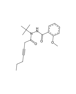 CCCC#CCC(=O)N(NC(=O)c1ccccc1OC)C(C)(C)C